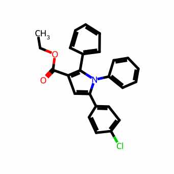 CCOC(=O)c1cc(-c2ccc(Cl)cc2)n(-c2ccccc2)c1-c1ccccc1